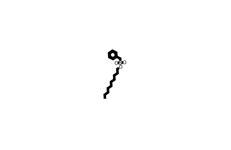 CCCCCCCCCCOS(=O)(=O)Cc1ccccc1